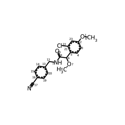 COc1ccc(C(OC)C(=O)NCc2ccc(C#N)cc2)c(Cl)c1